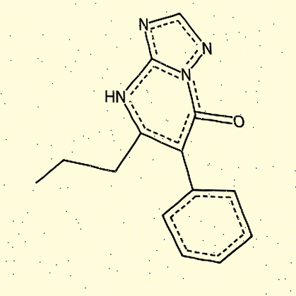 CCCc1[nH]c2ncnn2c(=O)c1-c1ccccc1